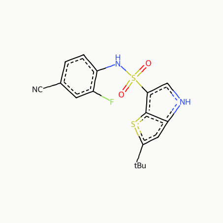 CC(C)(C)c1cc2[nH]cc(S(=O)(=O)Nc3ccc(C#N)cc3F)c2s1